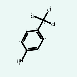 [NH]c1ccc(C(Cl)(Cl)Cl)cc1